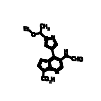 CCOC(C)n1cc(-c2c(NC=O)cnn3c(C(=O)O)ccc23)cn1